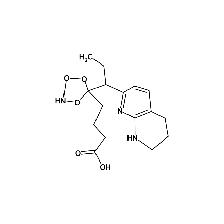 CCC(c1ccc2c(n1)NCCC2)C1(CCCC(=O)O)ONOO1